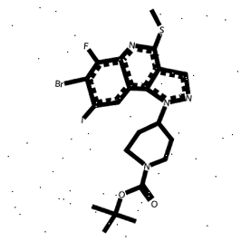 CSc1nc2c(F)c(Br)c(I)cc2c2c1cnn2C1CCN(C(=O)OC(C)(C)C)CC1